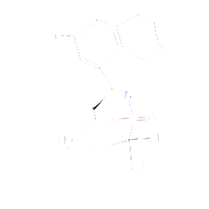 C=CC[C@H](NS(=O)(=O)C(C)(C)C)c1cc(Br)cc2c1COC=C2